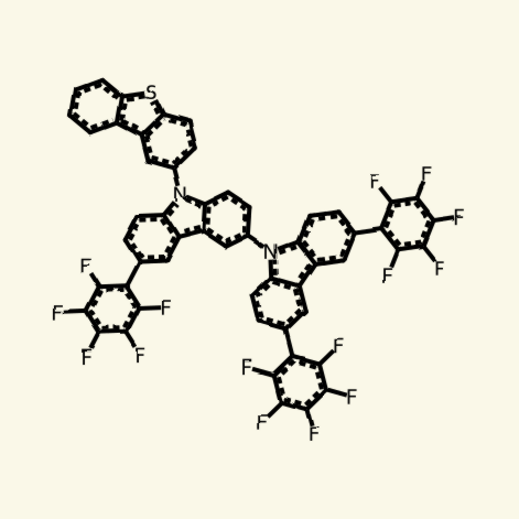 Fc1c(F)c(F)c(-c2ccc3c(c2)c2cc(-c4c(F)c(F)c(F)c(F)c4F)ccc2n3-c2ccc3c(c2)c2cc(-c4c(F)c(F)c(F)c(F)c4F)ccc2n3-c2ccc3sc4ccccc4c3c2)c(F)c1F